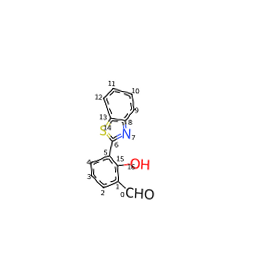 O=Cc1cccc(-c2nc3ccccc3s2)c1O